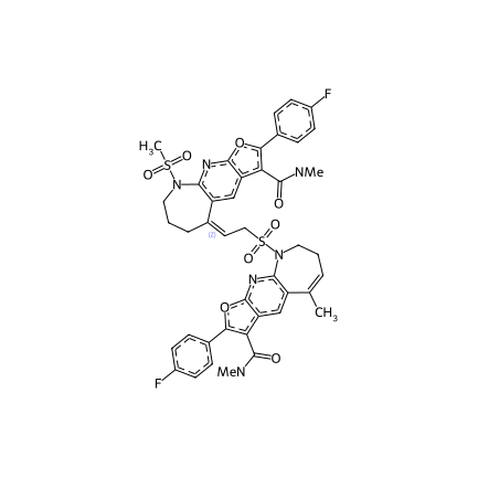 CNC(=O)c1c(-c2ccc(F)cc2)oc2nc3c(cc12)/C(=C\CS(=O)(=O)N1CCC=C(C)c2cc4c(C(=O)NC)c(-c5ccc(F)cc5)oc4nc21)CCCN3S(C)(=O)=O